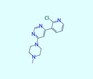 CN1CCN(c2cc(-c3cccnc3Cl)ncn2)CC1